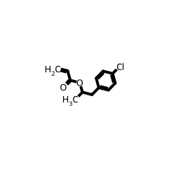 C=CC(=O)OC(C)Cc1ccc(Cl)cc1